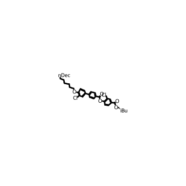 CCCCCCCCCCCCCCCCOc1ccc(-c2ccc(C(=O)Oc3ccc(C(=O)OC[C@@H](C)CC)cc3Cl)cc2)cc1Cl